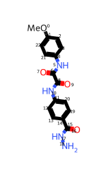 COc1ccc(NC(=O)C(=O)Nc2ccc(C(=O)NN)cc2)cc1